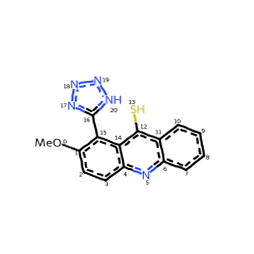 COc1ccc2nc3ccccc3c(S)c2c1-c1nnn[nH]1